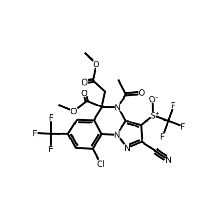 COC(=O)CC1(C(=O)OC)c2cc(C(F)(F)F)cc(Cl)c2-n2nc(C#N)c([S+]([O-])C(F)(F)F)c2N1C(C)=O